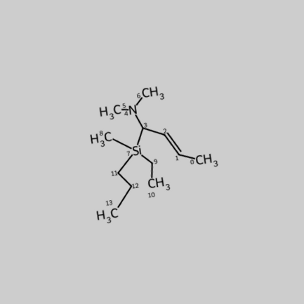 CC=CC(N(C)C)[Si](C)(CC)CCC